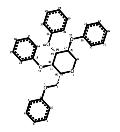 [CH]1O[C@H](COc2ccccc2)[C@@H](Oc2ccccc2)[C@H](Oc2ccccc2)[C@H]1Oc1ccccc1